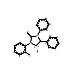 Cc1ccccc1N1C(C)N(c2ccccc2)C(c2ccccc2)[C@@H]1C